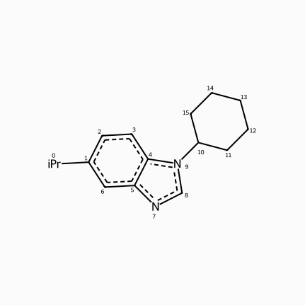 CC(C)c1ccc2c(c1)ncn2C1CCCCC1